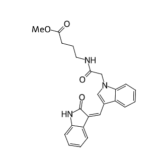 COC(=O)CCCNC(=O)Cn1cc(C=C2C(=O)Nc3ccccc32)c2ccccc21